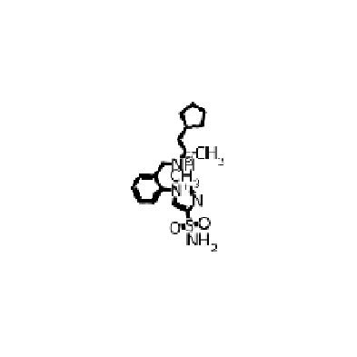 C[C@@H](CC1CCCC1)NCc1ccccc1[N+]1(C)C=NC(S(N)(=O)=O)=C1